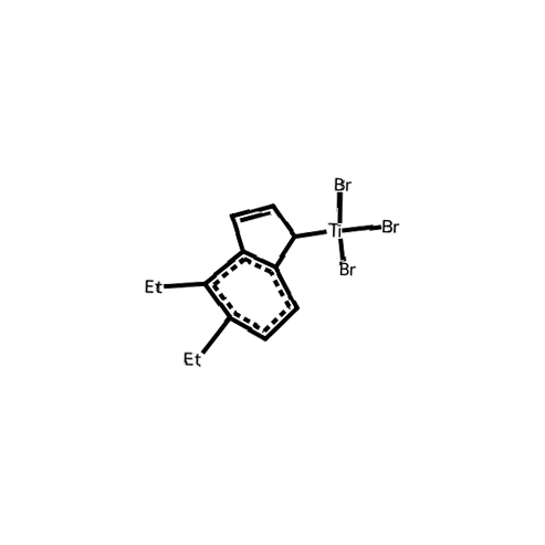 CCc1ccc2c(c1CC)C=C[CH]2[Ti]([Br])([Br])[Br]